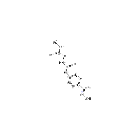 C/C(=N\O)c1ccc(NC(=O)NCC(=O)OC(C)C)cc1